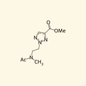 COC(=O)c1cnn(CCN(C)C(C)=O)n1